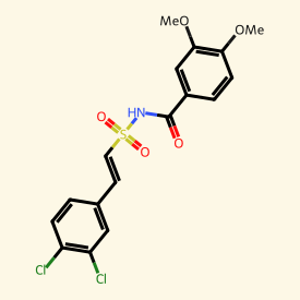 COc1ccc(C(=O)NS(=O)(=O)/C=C/c2ccc(Cl)c(Cl)c2)cc1OC